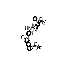 CN(C)C(=O)c1cc2cnc(Nc3ccc(N4CC5(CC4=O)CC4CCCN(C(=O)OC(C)(C)C)C4C5)cn3)nc2n1C1CCCC1